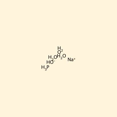 O.O.O.P.[Na+].[OH-]